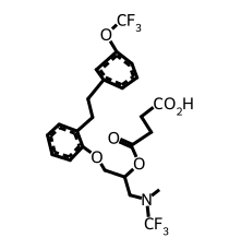 CN(CC(COc1ccccc1CCc1cccc(OC(F)(F)F)c1)OC(=O)CCC(=O)O)C(F)(F)F